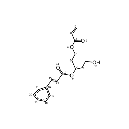 C=CC(=O)OCCC(CCO)OC(=O)/C=C/c1ccccc1